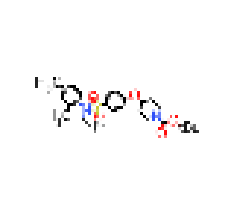 Cc1ccc(N(CC(C)C)S(=O)(=O)c2ccc(OC3CCN(C(=O)OC(C)(C)C)CC3)cc2)c(C)c1